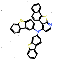 c1ccc2c(c1)ccc1c2sc2nccc(N(c3ccc4c(c3)sc3ccccc34)c3ccc4sc5ccccc5c4c3)c21